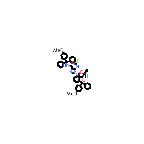 [2H][C@]1(C#C)O[C@@H](n2cnc3c(NC(c4ccccc4)(c4ccccc4)c4ccc(OC)cc4)nc(F)nc32)C[C@@H]1OC(c1ccccc1)(c1ccccc1)c1ccc(OC)cc1